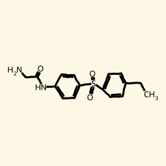 CCc1ccc(S(=O)(=O)c2ccc(NC(=O)CN)cc2)cc1